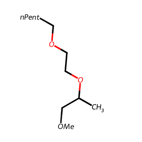 CCCCCCOCCOC(C)COC